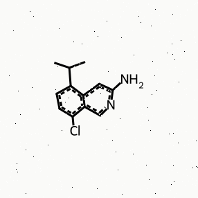 CC(C)c1ccc(Cl)c2cnc(N)cc12